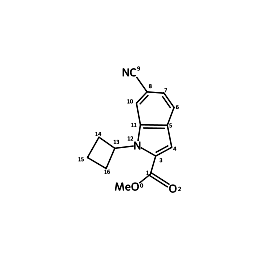 COC(=O)c1cc2ccc(C#N)cc2n1C1CCC1